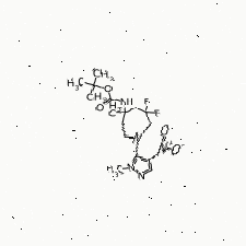 Cn1ncc([N+](=O)[O-])c1N1CCC(C)(NC(=O)OC(C)(C)C)CC(F)(F)C1